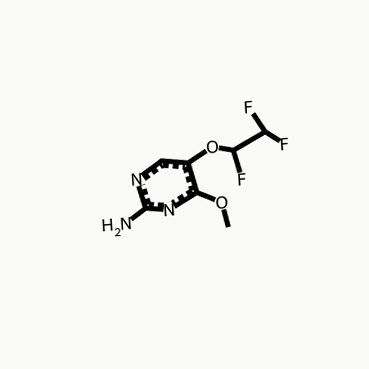 COc1nc(N)ncc1OC(F)C(F)F